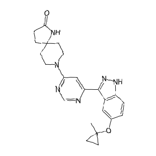 CC1(Oc2ccc3[nH]nc(-c4cc(N5CCC6(CCC(=O)N6)CC5)ncn4)c3c2)CC1